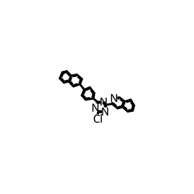 Clc1nc(-c2ccc(-c3ccc4ccccc4c3)cc2)nc(-c2cc3ccccc3cn2)n1